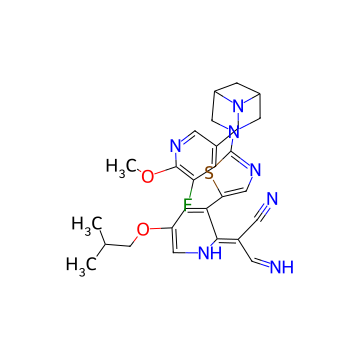 COc1ncc(CN2C3CC2CN(c2ncc(C4=CC(OCC(C)C)=CN/C4=C(/C#N)C=N)s2)C3)cc1F